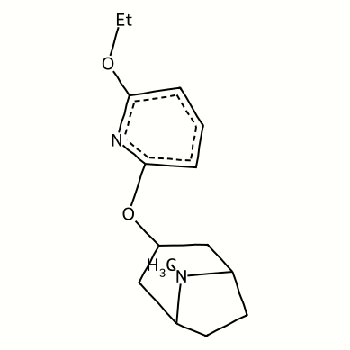 CCOc1cccc(OC2CC3CCC(C2)N3C)n1